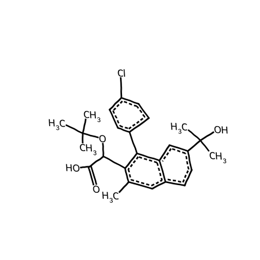 Cc1cc2ccc(C(C)(C)O)cc2c(-c2ccc(Cl)cc2)c1C(OC(C)(C)C)C(=O)O